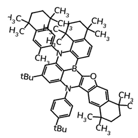 Cc1cc2c(cc1N1c3cc(C(C)(C)C)cc4c3B(c3ccc5c(c31)C(C)(C)CCC5(C)C)c1oc3cc5c(cc3c1N4c1ccc(C(C)(C)C)cc1)C(C)(C)CCC5(C)C)C(C)(C)CCC2(C)C